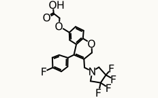 O=C(O)COc1ccc2c(c1)C(c1ccc(F)cc1)=C(CN1CC(F)(F)C(F)(F)C1)CO2